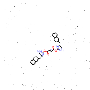 O=C(/C=C/C(=O)OC1=N[C@H](CC2=Cc3ccccc3CC2)CN1)OC1=N[C@H](CC2=Cc3ccccc3CC2)CN1